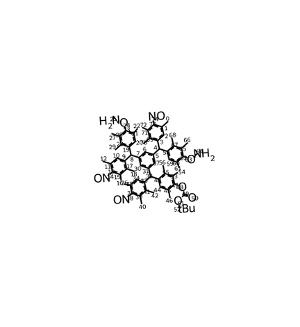 Cc1cc(C(c2cc(C(c3cc(C)c(N=O)c(C)c3C)c3cc(C)c(ON)c(C)c3C)cc(C(c3cc(C)c(N=O)c(C)c3C)c3cc(C)c(OC(=O)OC(C)(C)C)c(C)c3C)c2)c2cc(C)c(ON)c(C)c2C)c(C)c(C)c1N=O